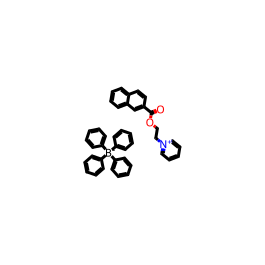 O=C(OCC[n+]1ccccc1)c1ccc2ccccc2c1.c1ccc([B-](c2ccccc2)(c2ccccc2)c2ccccc2)cc1